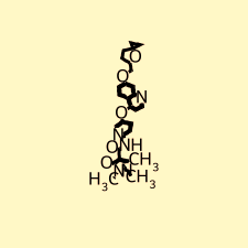 Cc1c(C(=O)Nc2ccc(Oc3ccnc4cc(OCC5CCC6(CC6)O5)ccc34)cn2)c(=O)n(C)n1C